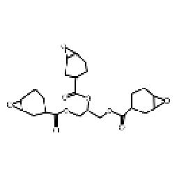 O=C(OCC(COC(=O)C1CCC2OC2C1)OC(=O)C1CCC2OC2C1)C1CCC2OC2C1